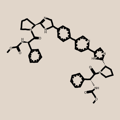 COC(=O)N[C@@H](C(=O)N1CCC[C@H]1C1=NCC(c2ccc(-c3ccc(-c4cnc([C@@H]5CCCN5C(=O)[C@H](NC(=O)OC)c5ccccc5)[nH]4)nc3)cc2)N1)c1ccccc1